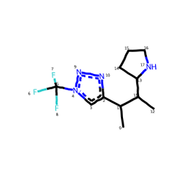 CC(c1cn(C(F)(F)F)nn1)C(C)C1CCCN1